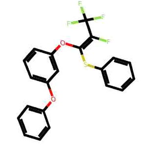 F/C(=C(/Oc1cccc(Oc2ccccc2)c1)Sc1ccccc1)C(F)(F)F